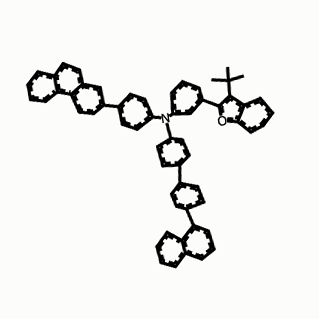 CC(C)(C)c1c(-c2cccc(N(c3ccc(-c4ccc(-c5cccc6ccccc56)cc4)cc3)c3ccc(-c4ccc5c(ccc6ccccc65)c4)cc3)c2)oc2ccccc12